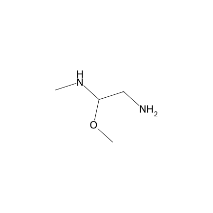 CNC(CN)OC